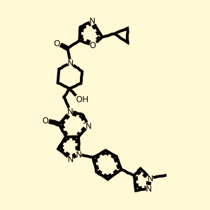 Cn1cc(-c2ccc(-n3ncc4c(=O)n(CC5(O)CCN(C(=O)c6cnc(C7CC7)o6)CC5)cnc43)cc2)cn1